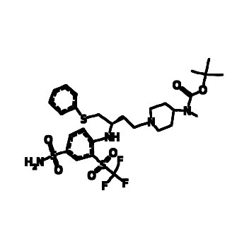 CN(C(=O)OC(C)(C)C)C1CCN(CC[C@H](CSc2ccccc2)Nc2ccc(S(N)(=O)=O)cc2S(=O)(=O)C(F)(F)F)CC1